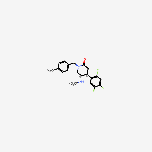 COc1ccc(CN2C[C@@H](NC(=O)O)[C@H](c3cc(F)c(F)cc3F)CC2=O)cc1